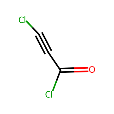 O=C(Cl)C#CCl